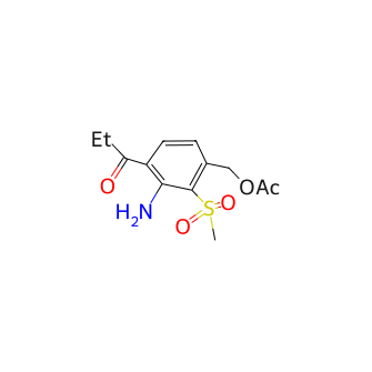 CCC(=O)c1ccc(COC(C)=O)c(S(C)(=O)=O)c1N